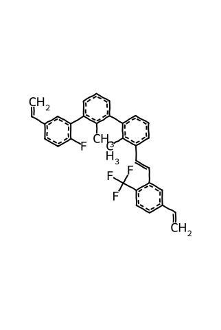 C=Cc1ccc(C(F)(F)F)c(/C=C/c2cccc(-c3cccc(-c4cc(C=C)ccc4F)c3C)c2C)c1